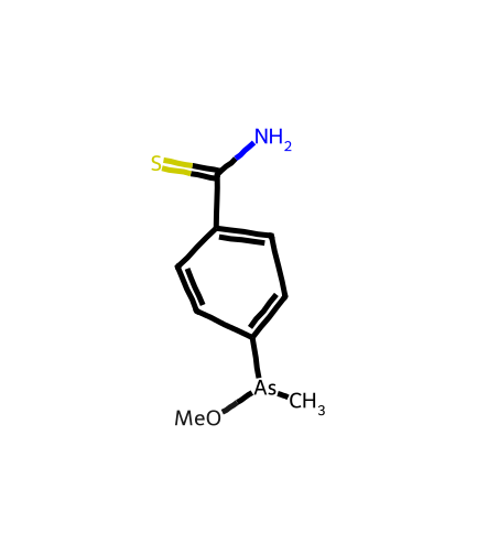 CO[As](C)c1ccc(C(N)=S)cc1